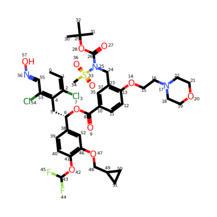 C\C=C(Cl)/C(C[C@H](OC(=O)c1ccc(OCCN2CCOCC2)c(CN(C(=O)OC(C)(C)C)S(C)(=O)=O)c1)c1ccc(OC(F)F)c(OCC2CC2)c1)=C(Cl)\C=N\O